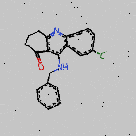 O=C1CCCc2nc3ccc(Cl)cc3c(NCc3ccccc3)c21